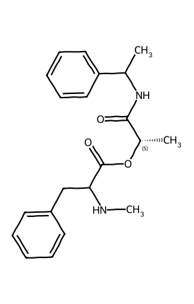 CNC(Cc1ccccc1)C(=O)O[C@@H](C)C(=O)NC(C)c1ccccc1